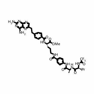 COC(=O)[C@H](CCCNC(=O)c1ccc(NC(=O)[C@H](C)NC(=O)[C@@H](NC(=O)C(F)(F)F)C(C)C)cc1)NC(=O)c1ccc(CCc2cnc3nc(N)nc(N)c3n2)cc1